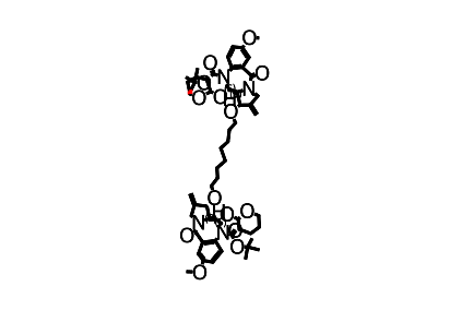 C=C1CN2C(=O)c3cc(OC)ccc3N(C(=O)OC(C)(C)C)[C@@H](OC3CCCCO3)[C@@H]2C1OCCCCCCCCOC1C(=C)CN2C(=O)c3cc(OC)ccc3N(C(=O)OC(C)(C)C)[C@@H](OC3CCCCO3)[C@H]12